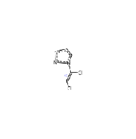 Cl/C=C(\Cl)n1cccn1